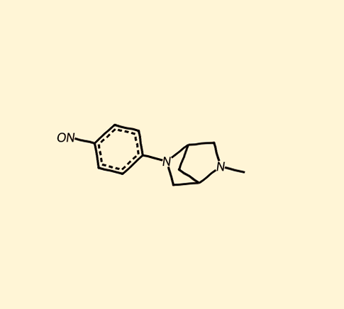 CN1CC2CC1CN2c1ccc(N=O)cc1